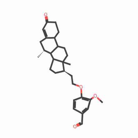 COc1cc(C=O)ccc1OCC[C@H]1CCC2C3C(CCC21C)C1CCC(=O)C=C1C[C@H]3C